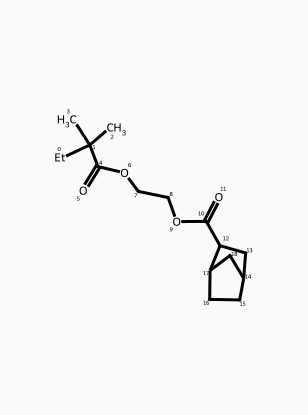 CCC(C)(C)C(=O)OCCOC(=O)C1CC2CCC1C2